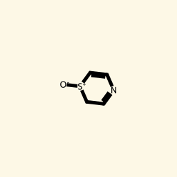 [O-][S+]1C=CN=CC1